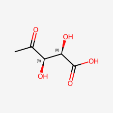 CC(=O)[C@H](O)[C@@H](O)C(=O)O